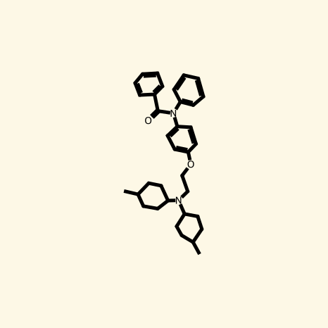 CC1CCC(N(CCOc2ccc(N(C(=O)c3ccccc3)c3ccccc3)cc2)C2CCC(C)CC2)CC1